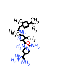 CC(CC1C=CC(C(C)C)CC1C)N[C@]1(C)CC(C)C(C(N)OC(N)N2CCC(/C(=C/N)NN)CC2)C=N1